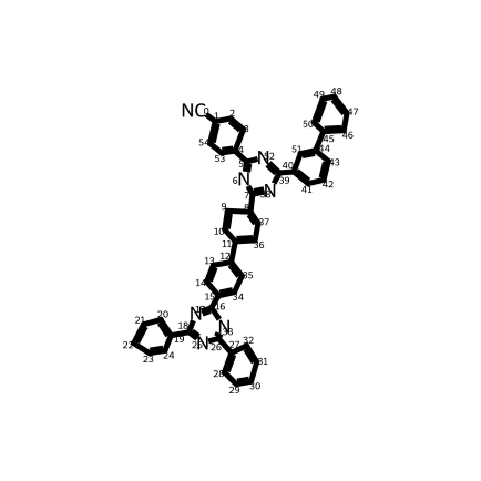 N#Cc1ccc(-c2nc(-c3ccc(-c4ccc(-c5nc(-c6ccccc6)nc(-c6ccccc6)n5)cc4)cc3)nc(-c3cccc(-c4ccccc4)c3)n2)cc1